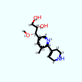 CO[C@@H](c1cnc(C2=CCNCC2)c(C)c1)[C@@H](O)CO